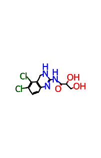 O=C(NC1=Nc2ccc(Cl)c(Cl)c2CN1)C(O)CO